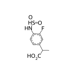 CC(C(=O)O)c1ccc(N[SH](=O)=O)c(F)c1